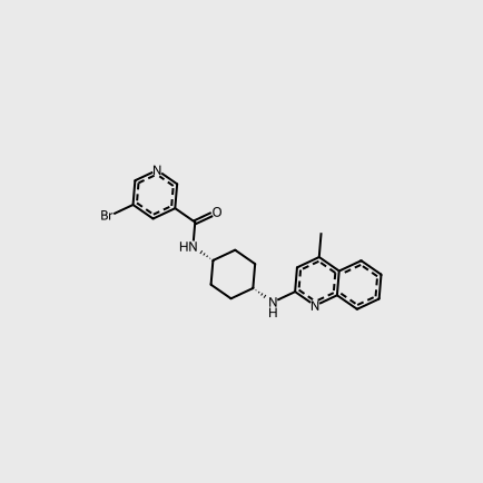 Cc1cc(N[C@H]2CC[C@@H](NC(=O)c3cncc(Br)c3)CC2)nc2ccccc12